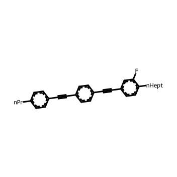 CCCCCCCc1ccc(C#Cc2ccc(C#Cc3ccc(CCC)cc3)cc2)cc1F